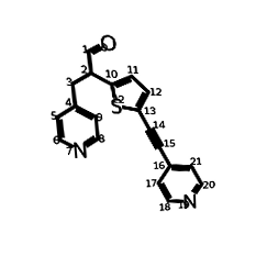 O=CC(Cc1ccncc1)c1ccc(C#Cc2ccncc2)s1